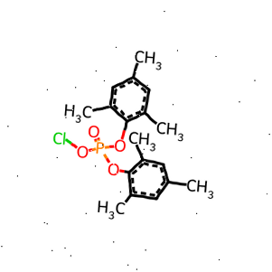 Cc1cc(C)c(OP(=O)(OCl)Oc2c(C)cc(C)cc2C)c(C)c1